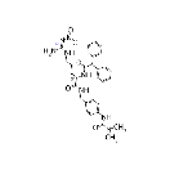 CN(C)C(=O)Nc1ccc(CNC(=O)[C@@H](CCCN/C(N)=N\[N+](=O)[O-])NC(=O)C(c2ccccc2)c2ccccc2)cc1